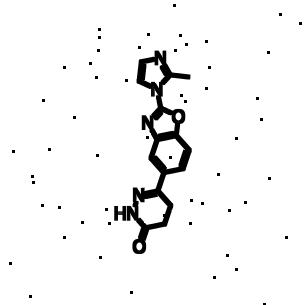 Cc1nccn1-c1nc2cc(C3=NNC(=O)CC3)ccc2o1